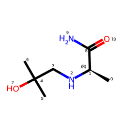 C[C@@H](NCC(C)(C)O)C(N)=O